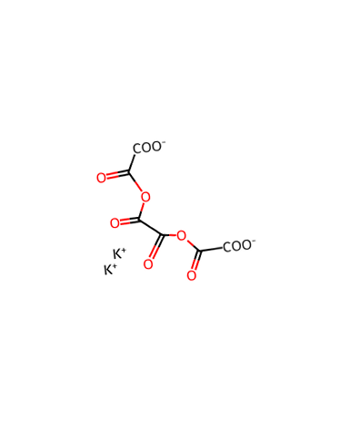 O=C([O-])C(=O)OC(=O)C(=O)OC(=O)C(=O)[O-].[K+].[K+]